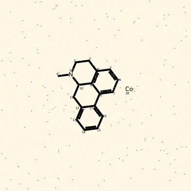 CN1CCc2cccc3c2C1Cc1ccccc1-3.[Co]